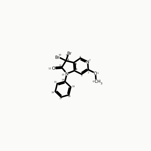 COc1cc2c(cn1)C(Br)(Br)C(=O)N2c1ccccc1